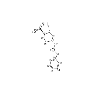 NC(=S)[C@H]1CC[C@H](COCc2ccccc2)CC1